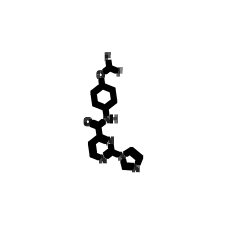 O=C(NC1CCC(OC(F)F)CC1)c1ccnc(-n2ccnc2)n1